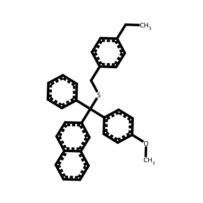 CCc1ccc(CSC(c2ccccc2)(c2ccc(OC)cc2)c2ccc3ccccc3c2)cc1